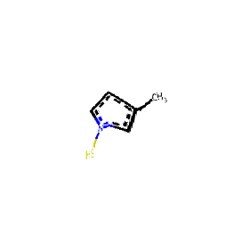 Cc1ccn(S)c1